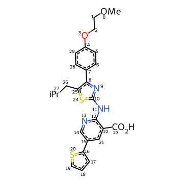 COCCOc1ccc(-c2nc(Nc3ncc(-c4cccs4)cc3C(=O)O)sc2CC(C)C)cc1